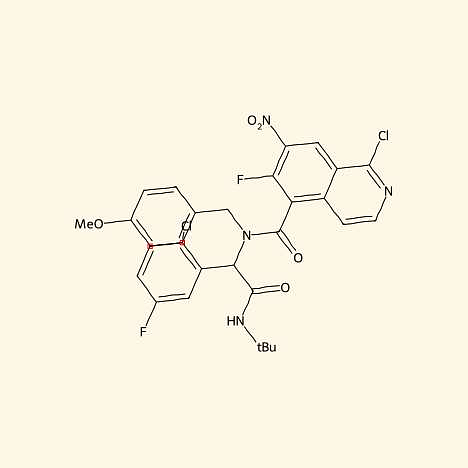 COc1ccc(CN(C(=O)c2c(F)c([N+](=O)[O-])cc3c(Cl)nccc23)C(C(=O)NC(C)(C)C)c2cc(F)ccc2Cl)cc1